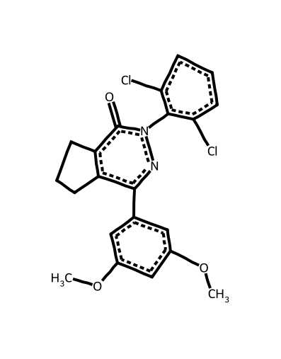 COc1cc(OC)cc(-c2nn(-c3c(Cl)cccc3Cl)c(=O)c3c2CCC3)c1